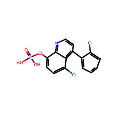 O=P(O)(O)Oc1ccc(Cl)c2c(-c3ccccc3Cl)ccnc12